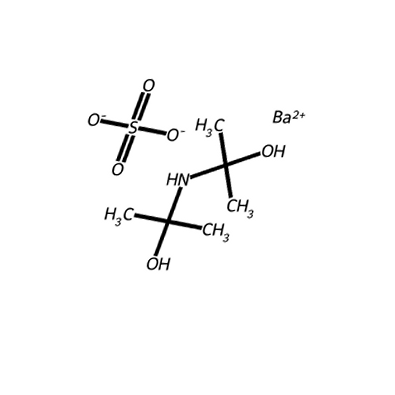 CC(C)(O)NC(C)(C)O.O=S(=O)([O-])[O-].[Ba+2]